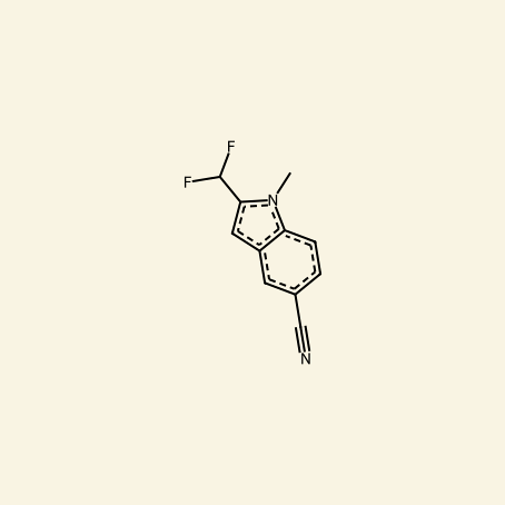 Cn1c(C(F)F)cc2cc(C#N)ccc21